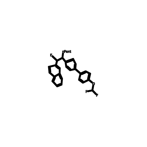 CCCCCC(c1ccc(-c2ccc(OC(F)F)cc2)cc1)C(F)c1ccc2ccccc2c1